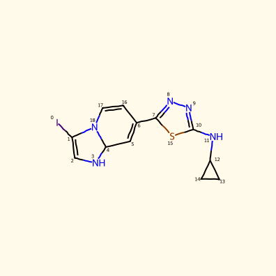 IC1=CNC2C=C(c3nnc(NC4CC4)s3)C=CN12